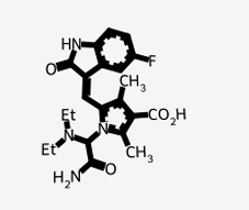 CCN(CC)C(C(N)=O)n1c(C)c(C(=O)O)c(C)c1C=C1C(=O)Nc2ccc(F)cc21